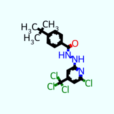 CC(C)(C)c1ccc(C(=O)NNc2cc(C(Cl)(Cl)Cl)cc(Cl)n2)cc1